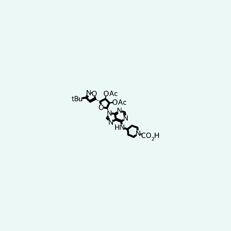 CC(=O)O[C@@H]1[C@H](OC(C)=O)[C@@H](c2cc(C(C)(C)C)no2)O[C@H]1n1cnc2c(NC3CCN(C(=O)O)CC3)ncnc21